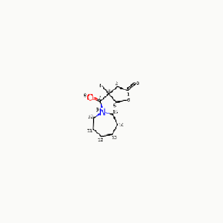 C=CCC(C)(CC)C(=O)N1CCCCCC1